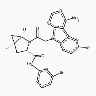 C[C@@]12C[C@@H](C(=O)Nc3cccc(Br)n3)N(C(=O)Cn3c4ccc(Br)nc4c4c(N)ncnc43)[C@@H]1C2